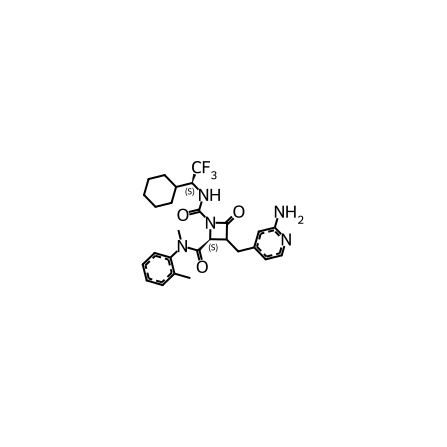 Cc1ccccc1N(C)C(=O)[C@@H]1C(Cc2ccnc(N)c2)C(=O)N1C(=O)N[C@@H](C1CCCCC1)C(F)(F)F